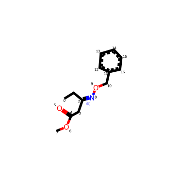 CC/C(CC(=O)OC)=N\OCc1ccccc1